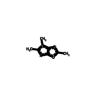 Cc1nc2c(nc(C)n2C)o1